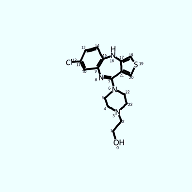 OCCN1CCN(C2=Nc3cc(Cl)ccc3Nc3cscc32)CC1